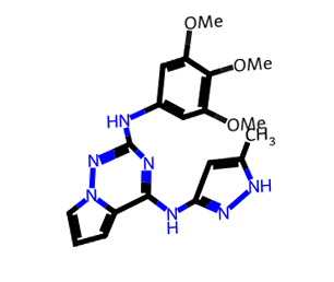 COc1cc(Nc2nc(Nc3cc(C)[nH]n3)c3cccn3n2)cc(OC)c1OC